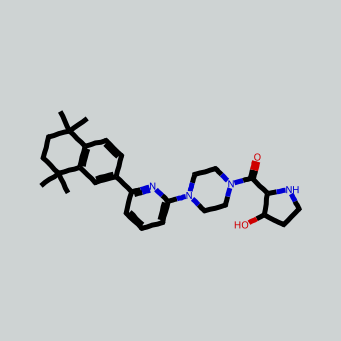 CC1(C)CCC(C)(C)c2cc(-c3cccc(N4CCN(C(=O)C5NCCC5O)CC4)n3)ccc21